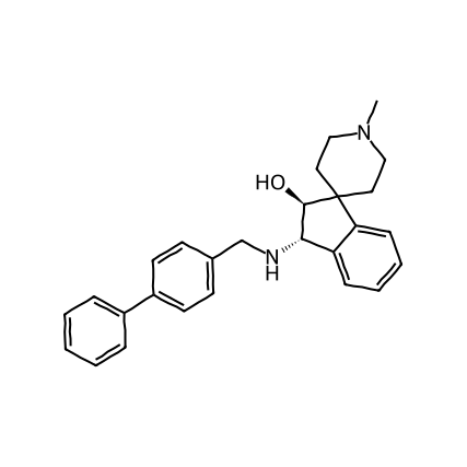 CN1CCC2(CC1)c1ccccc1[C@H](NCc1ccc(-c3ccccc3)cc1)[C@H]2O